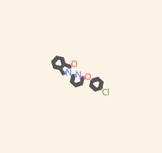 O=C1c2ccccc2CN1c1cccc(Oc2ccc(Cl)cc2)n1